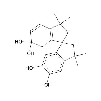 CC1(C)CC2(CC(C)(C)c3cc(O)c(O)cc32)C2=C1C=CC(O)(O)C2